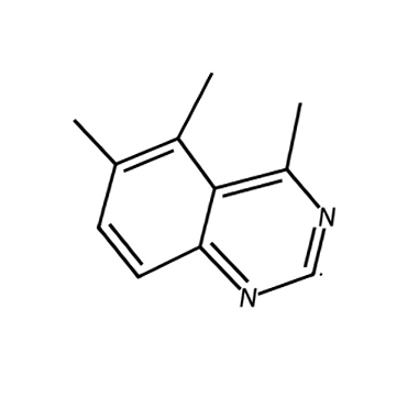 Cc1ccc2n[c]nc(C)c2c1C